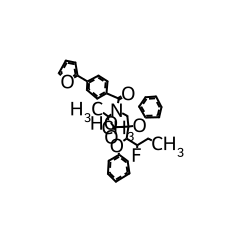 CCC(F)C(Oc1ccccc1)C(CN(C(=O)c1ccc(-c2ccco2)cc1)C(C)C)(Oc1ccccc1)C(=O)O